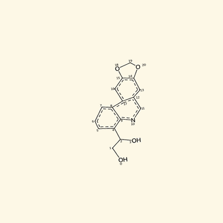 OCC(O)c1cccc2c1ncc1cc3c(cc12)OCO3